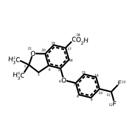 CC1(C)Cc2c(Oc3ccc(C(F)F)cc3)cc(C(=O)O)cc2O1